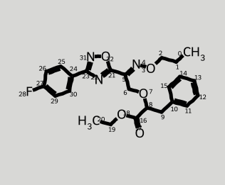 CCCON=C(COC(Cc1ccccc1)C(=O)OCC)c1nc(-c2ccc(F)cc2)no1